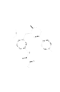 CC(=O)CC(=O)O.NC(=O)C(=O)Nc1cccc(CN2N=C(c3ccc(Cl)cc3)CSC2=O)c1